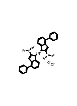 CCCP(CCC)C1=Cc2c(-c3ccccc3)cccc2[CH]1[Hf+2][CH]1C(P(CCC)CCC)=Cc2c(-c3ccccc3)cccc21.[Cl-].[Cl-]